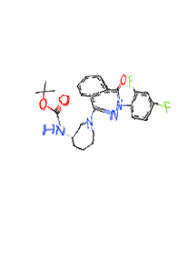 CC(C)(C)OC(=O)N[C@H]1CCCCN(c2nn(-c3ccc(F)cc3F)c(=O)c3ccccc23)C1